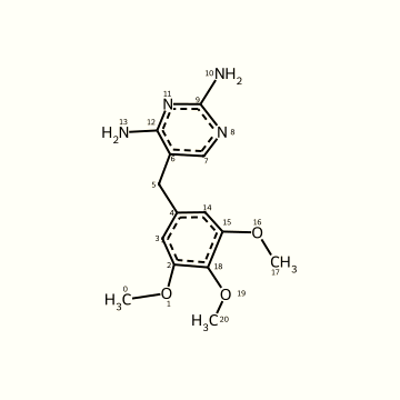 COc1[c]c(Cc2cnc(N)nc2N)cc(OC)c1OC